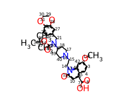 COc1ccc2c(C(=O)O)cc(=O)n(CCN3CCC(N(Cc4ccc5c(c4)OCCO5)C(=O)OC(C)(C)C)CC3)c2c1